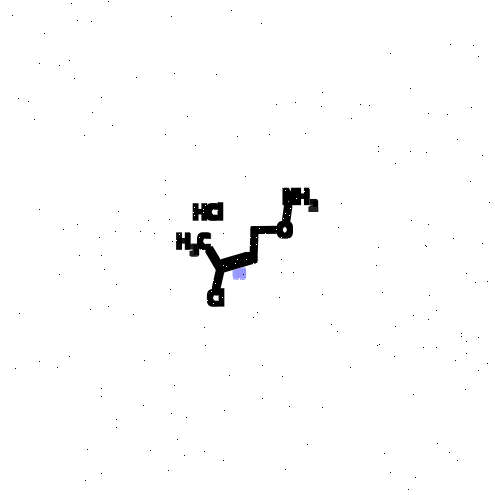 C/C(Cl)=C\CON.Cl